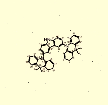 CC1(C)C2=C(C=CCC2)N(c2ccc3[nH]c4ccc(N5C6=C(CCC=C6)C(C)(C)c6ccccc65)cc4c3c2)c2ccccc21